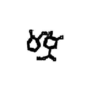 COC(=O)c1ccc(C)c(Cl)n1.O=C(O)c1cccc[n+]1[O-]